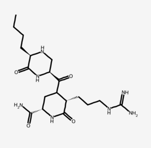 CCCC[C@H]1NC[C@@H](C(=O)C2C[C@@H](C(N)=O)NC(=O)[C@H]2CCCNC(=N)N)NC1=O